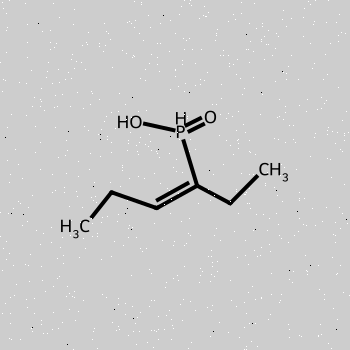 CCC=C(CC)[PH](=O)O